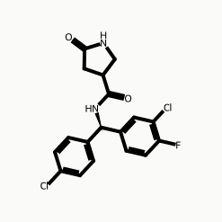 O=C1CC(C(=O)N[C@H](c2ccc(Cl)cc2)c2ccc(F)c(Cl)c2)CN1